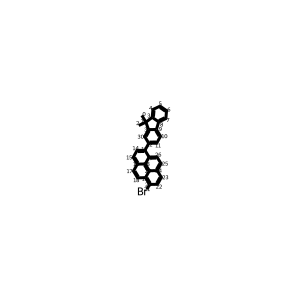 CC1(C)c2ccccc2-c2ccc(-c3ccc4ccc5c(Br)ccc6ccc3c4c65)cc21